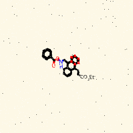 CCOC(=O)CCC12C3=C(CCC=C3)C(CNOC(=O)c3ccccc3)(c3ccccc31)c1ccccc12